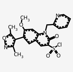 COc1cc2c(cc1-c1c(C)noc1C)cc(S(=O)(=O)Cl)c(=O)n2Cc1ccccn1